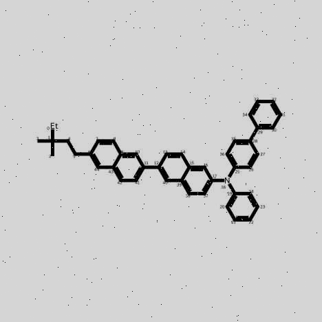 CCC(C)(C)CCc1ccc2cc(-c3ccc4cc(N(c5ccccc5)c5ccc(-c6ccccc6)cc5)ccc4c3)ccc2c1